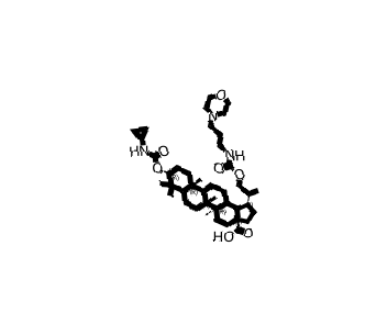 CC(COC(=O)NCCCN1CCOCC1)[C@@H]1CC[C@]2(C(=O)O)CC[C@]3(C)C(CCC4[C@@]5(C)CC[C@@H](OC(=O)NC6CC6)C(C)(C)C5CC[C@]43C)C12